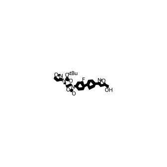 CC(C)(C)OC(=O)N(C[C@@H]1CN(c2ccc(-c3ccc(C4=NOC(CO)C4)cc3)c(F)c2)C(=O)O1)c1ccon1